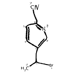 CC(Br)c1ccc(C#N)nc1